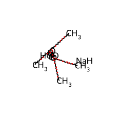 CCCCCCCCCCCCCCCCCC(CCCCCCCCCCCCCCCC)OC(=O)CC(C(=O)OC(CCCCCCCCCCCCCCCC)CCCCCCCCCCCCCCCCC)S(=O)(=O)O.[NaH]